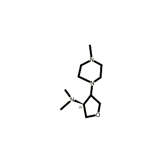 CN1CCN(C2COC[C@H]2N(C)C)CC1